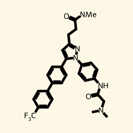 CNC(=O)CCc1cc(-c2ccc(-c3ccc(C(F)(F)F)cc3)cc2)n(-c2ccc(NC(=O)CN(C)C)cc2)n1